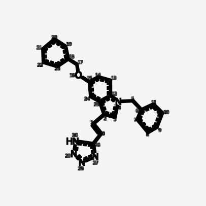 C(=Cc1cn(Cc2ccccc2)c2ccc(OCc3ccccc3)cc12)c1nnn[nH]1